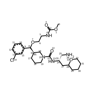 COC(=O)NCCOC(c1cccc(Cl)c1)[C@@H]1CCCN(C(=O)N[C@H](CN)CC2CCCCO2)C1